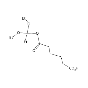 CCOC(CC)(OCC)OC(=O)CCCCC(=O)O